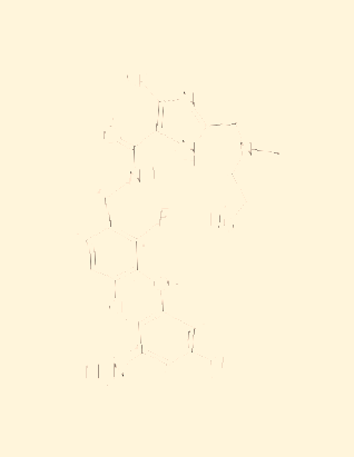 CN(CCO)Cc1nc(Cl)c(C(=O)NCc2ccc(Cl)c(Oc3cc(N)cc(Cl)c3)c2F)[nH]1